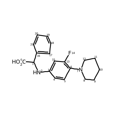 O=C(O)C(Nc1ccc(N2CCCCC2)c(F)c1)c1ccccc1